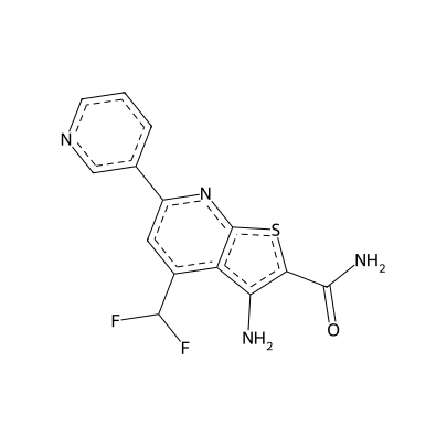 NC(=O)c1sc2nc(-c3cccnc3)cc(C(F)F)c2c1N